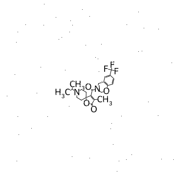 CC1=C(C(=O)N2COc3ccc(C(F)(F)F)cc3C2)C2(CCN(C(C)C)CC2)OC1=O